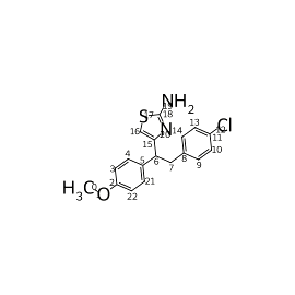 COc1ccc(C(Cc2ccc(Cl)cc2)c2csc(N)n2)cc1